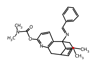 C/C=C1\C2C=C(C)CC1(/N=C/c1ccccc1)c1ccc(OC(=O)N(C)C)nc1C2